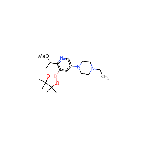 CO[C@@H](C)c1ncc(N2CCN(CC(F)(F)F)CC2)cc1B1OC(C)(C)C(C)(C)O1